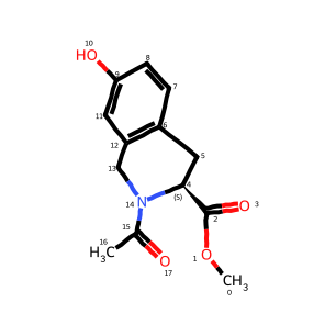 COC(=O)[C@@H]1Cc2ccc(O)cc2CN1C(C)=O